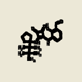 BC(B)(B)C(B)(B)C1(Nc2c(Nc3cccc(C=O)c3O)c(=O)c2=O)CCCC1